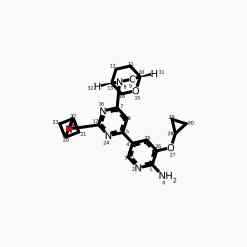 Nc1ncc(-c2cc(N3C[C@@H]4CC[C@H]3CO4)nc(N3CC4CC3C4)n2)cc1OC1CC1